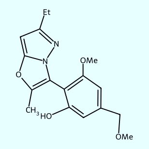 CCc1cc2oc(C)c(-c3c(O)cc(COC)cc3OC)n2n1